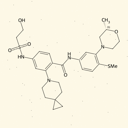 CSc1ccc(NC(=O)c2ccc(NS(=O)(=O)CCO)cc2N2CCC3(CC2)CC3)cc1N1CCO[C@@H](C)C1